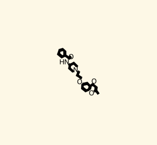 Cc1cc(=O)c2cc(OCCCN3CCC(NC(=O)c4ccccc4)CC3)ccc2o1